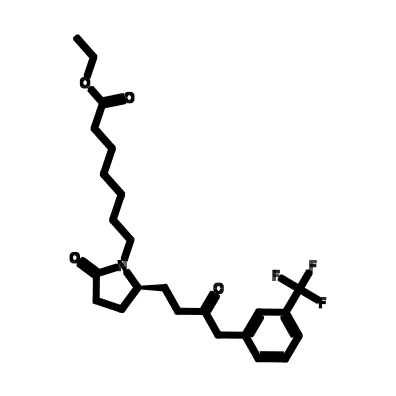 CCOC(=O)CCCCCCN1C(=O)CC[C@@H]1CCC(=O)Cc1cccc(C(F)(F)F)c1